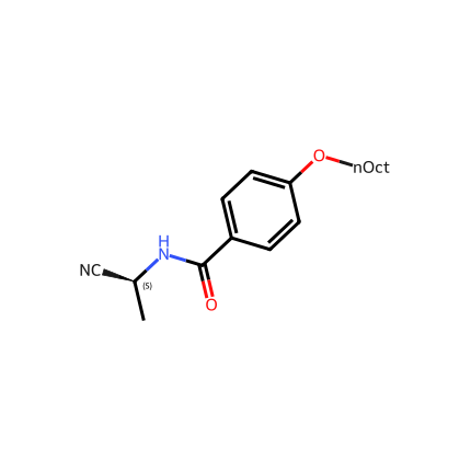 CCCCCCCCOc1ccc(C(=O)N[C@@H](C)C#N)cc1